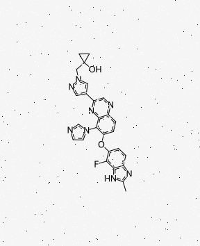 Cc1nc2ccc(Oc3ccc4ncc(-c5cnn(CC6(O)CC6)c5)nc4c3-n3ccnc3)c(F)c2[nH]1